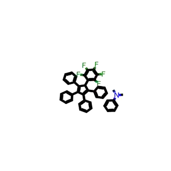 CN(C)c1ccccc1.Fc1c(F)c(F)c(C2C(c3ccccc3)=C(c3ccccc3)C(c3ccccc3)=C2c2ccccc2)c(F)c1F